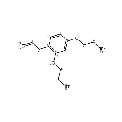 C=CCc1ccc(OCCC(C)C)cc1OCCC(C)C